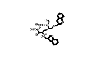 CC[C@@H](C(CC[C@@H](CSCc1cnc2ccccc2c1)N(C=O)OC(C)(C)C)S(=O)(=O)Cc1cnc2ccccc2c1)N(C=O)OC(C)(C)C